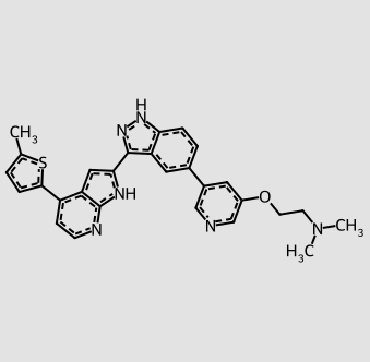 Cc1ccc(-c2ccnc3[nH]c(-c4n[nH]c5ccc(-c6cncc(OCCN(C)C)c6)cc45)cc23)s1